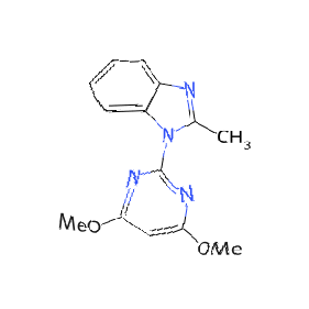 COc1cc(OC)nc(-n2c(C)nc3ccccc32)n1